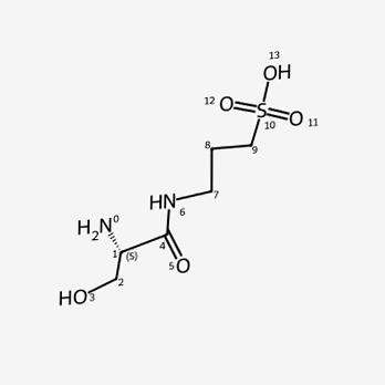 N[C@@H](CO)C(=O)NCCCS(=O)(=O)O